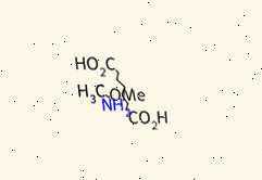 COC(C)N.O=C(O)CCCCCCC(=O)O